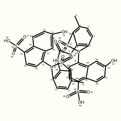 Cc1ccc2c(NC(=O)Nc3c4ccc(C)c3S(=O)(=O)N4c3ccc(S(=O)(=O)O)c4ccc(O)cc34)c1S(=O)(=O)N2c1ccc(S(=O)(=O)O)c2ccc(O)cc12